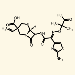 C=CC1(C(=O)O)CS[C@@H]2C(NC(=O)C(=NOC(C)(C)C(=O)O)c3csc(N)n3)C(=O)N2C1